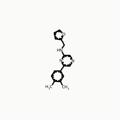 Cc1ccc(-c2cncc(NCc3ccco3)n2)cc1C